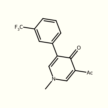 CC(=O)c1cn(C)cc(-c2cccc(C(F)(F)F)c2)c1=O